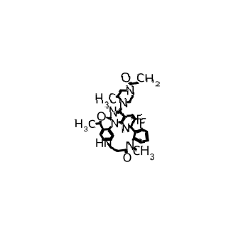 C=CC(=O)N1CCN(C2=NC3OC(C)c4cccc5c4N3c3nc(c(F)cc32)-c2c(F)cccc2N(C)C(=O)CCN5)[C@@H](C)C1